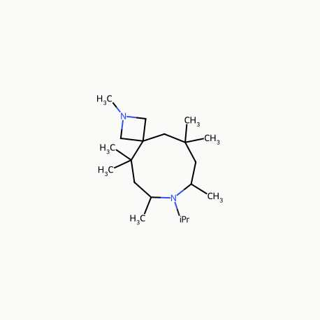 CC(C)N1C(C)CC(C)(C)CC2(CN(C)C2)C(C)(C)CC1C